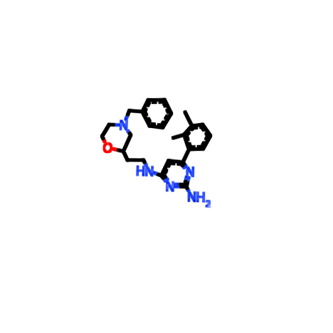 Cc1cccc(-c2cc(NCCC3CN(Cc4ccccc4)CCO3)nc(N)n2)c1C